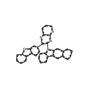 c1ccc2cc3c(cc2c1)c1ccccc1n3-c1nc2ncccc2nc1-c1ccc2c(c1)oc1ccccc12